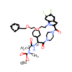 C[C@@H](C(=O)N[C@H](C(=O)N1CCN(C(=O)c2cc3cc(F)c(F)cc3n2CCOCCOCc2ccccc2)CC1)C1CCCCC1)N(C)C(=O)OC(C)(C)C